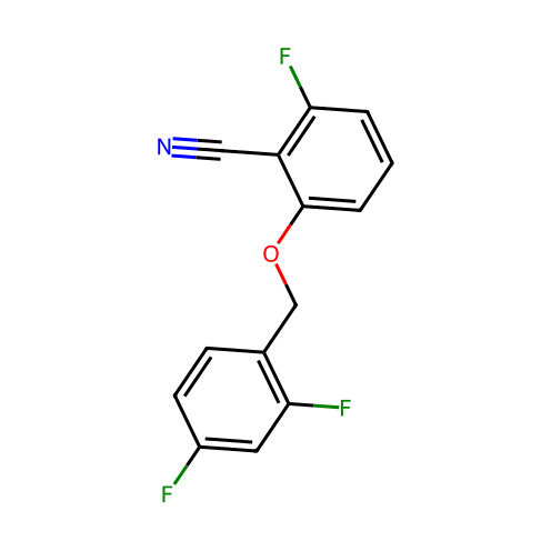 N#Cc1c(F)cccc1OCc1ccc(F)cc1F